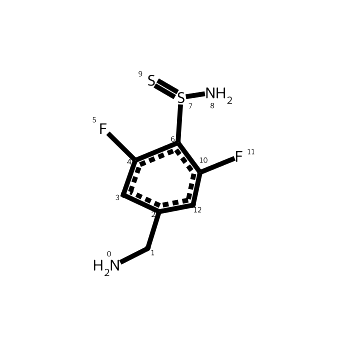 NCc1cc(F)c(S(N)=S)c(F)c1